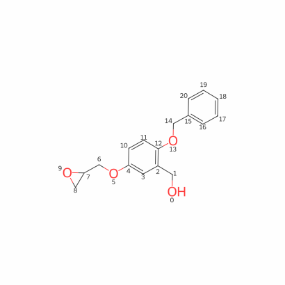 OCc1cc(OCC2CO2)ccc1OCc1ccccc1